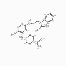 N#Cc1cnc(NCCC2C(=O)Nc3ccccc32)nc1N[C@H]1CC[C@@H](C(N)=O)CC1